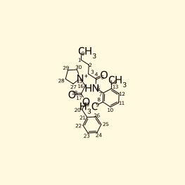 CCCC(C(=O)Nc1c(C)cccc1C)[N+]1(CC(=O)OCc2ccccc2)CCCC1